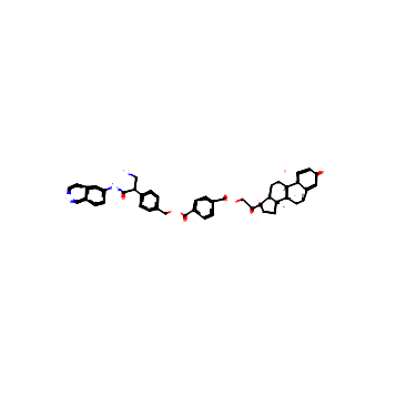 C[C@@H]1C[C@H]2[C@@H]3CCC4=CC(=O)C=C[C@]4(C)[C@@]3(F)[C@@H](O)C[C@]2(C)[C@@]1(O)C(=O)COC(=O)c1ccc(C(=O)OCc2ccc(C(CN)C(=O)Nc3ccc4cnccc4c3)cc2)cc1